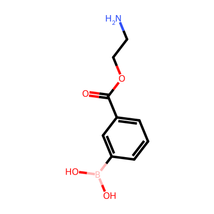 NCCOC(=O)c1cccc(B(O)O)c1